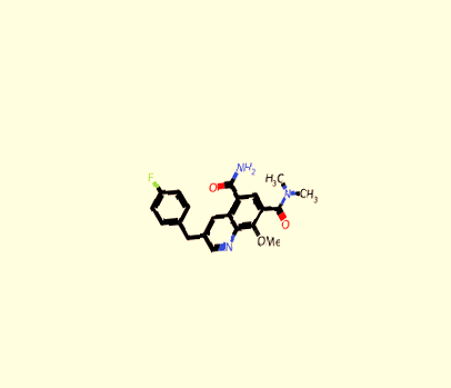 COc1c(C(=O)N(C)C)cc(C(N)=O)c2cc(Cc3ccc(F)cc3)cnc12